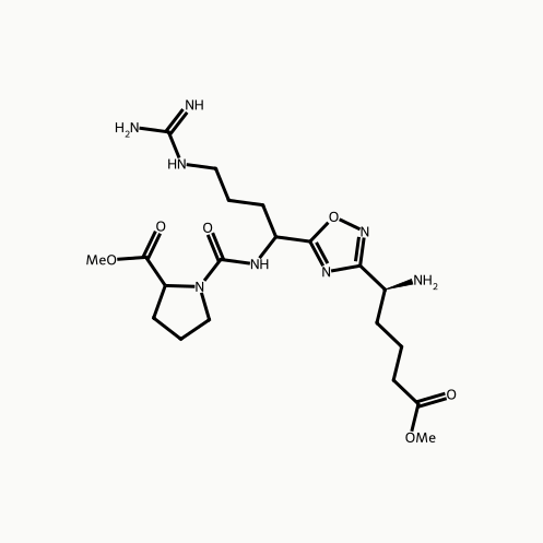 COC(=O)CCC[C@H](N)c1noc(C(CCCNC(=N)N)NC(=O)N2CCCC2C(=O)OC)n1